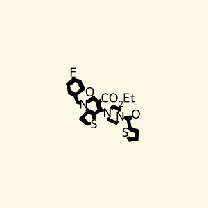 CCOC(=O)c1c(N2CCN(C(=O)c3cccs3)CC2)c2sccc2n(Cc2ccc(F)cc2)c1=O